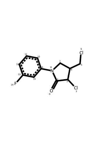 O=C1C(Cl)C(CCl)CN1c1cccc(F)c1